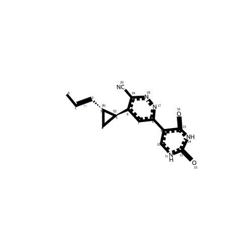 C/C=C/[C@H]1C[C@@H]1c1cc(-c2c[nH]c(=O)[nH]c2=O)nnc1C#N